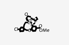 COC(=O)c1ccc2c(c1)N(C[C@@H]1CC[C@H]1[C@@H]1CC(=O)C=CO1)CCCCc1cc(Cl)ccc1CO2